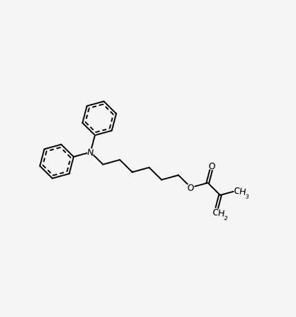 C=C(C)C(=O)OCCCCCCN(c1ccccc1)c1ccccc1